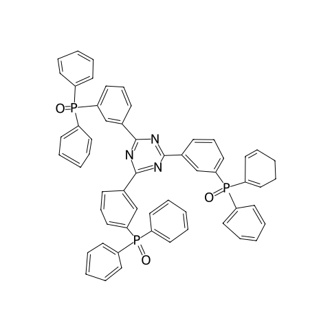 O=P(C1=CCCC=C1)(c1ccccc1)c1cccc(-c2nc(-c3cccc(P(=O)(c4ccccc4)c4ccccc4)c3)nc(-c3cccc(P(=O)(c4ccccc4)c4ccccc4)c3)n2)c1